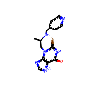 CC(Cn1c(=S)[nH]c(=O)c2[nH]cnc21)NCc1ccncc1